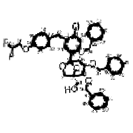 OC[C@]12COC(c3ccc(Cl)c(Cc4ccc(OCC(F)F)cc4)c3)(O1)[C@H](OCc1ccccc1)[C@@H](OCc1ccccc1)[C@@H]2OCc1ccccc1